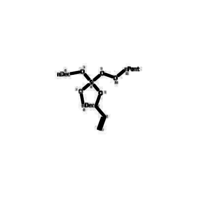 C=CCO[Si](OCCCCCCCCCC)(OCCCCCCCCCC)OOCCCCC